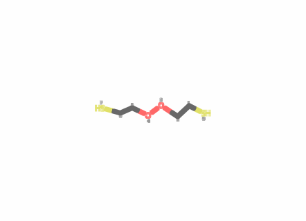 SCCOOCCS